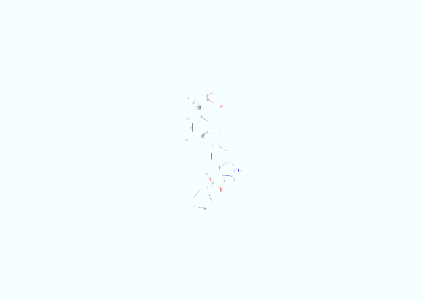 Cc1ccc(S(=O)(=O)c2c[nH]c3ccc(Oc4c(C)cc([C@H](N)C(=O)O)cc4C)cc23)cc1